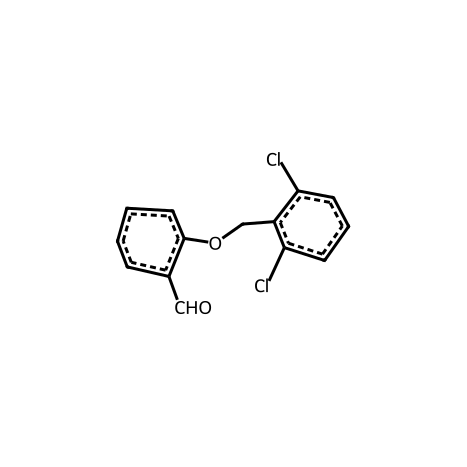 O=Cc1ccccc1OCc1c(Cl)cccc1Cl